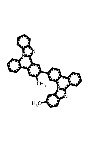 Cc1ccc2nc3c4ccccc4c4ccc(-c5cc6c(cc5C)c5ccccc5n5c7ccccc7nc65)cc4n3c2c1